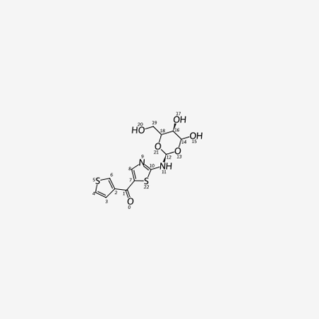 O=C(c1ccsc1)c1cnc(N[C@@H]2OC(O)[C@H](O)C(CO)O2)s1